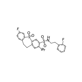 CC(C)c1cc2c(cc1S(=O)(=O)NCCc1ccccc1F)S(=O)(=O)c1cc(F)ccc1CC2